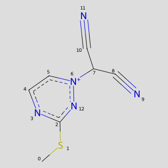 CSc1ncc[n+](C(C#N)C#N)n1